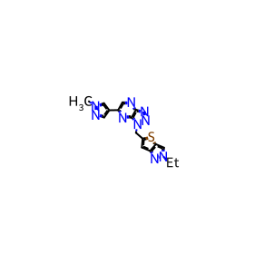 CCn1cc2sc(Cn3nnc4ncc(-c5cnn(C)c5)nc43)cc2n1